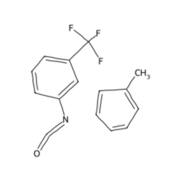 Cc1ccccc1.O=C=Nc1cccc(C(F)(F)F)c1